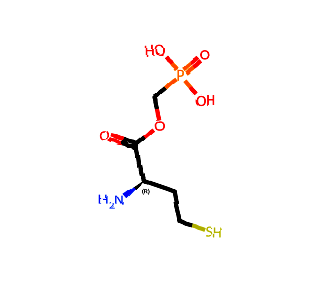 N[C@H](CCS)C(=O)OCP(=O)(O)O